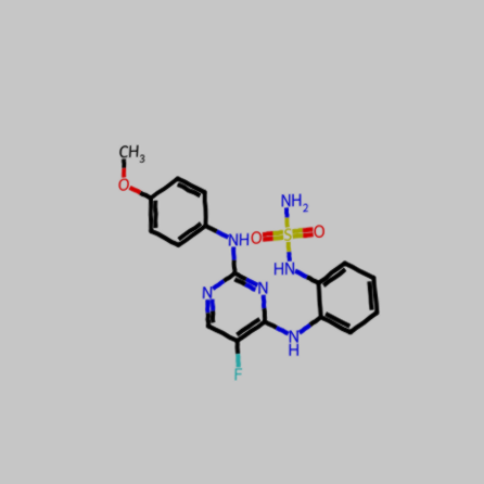 COc1ccc(Nc2ncc(F)c(Nc3ccccc3NS(N)(=O)=O)n2)cc1